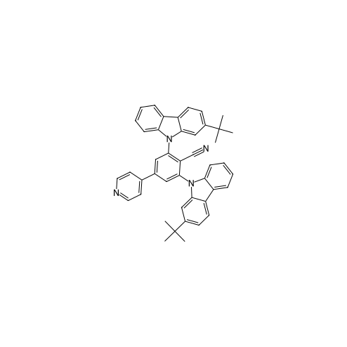 CC(C)(C)c1ccc2c3ccccc3n(-c3cc(-c4ccncc4)cc(-n4c5ccccc5c5ccc(C(C)(C)C)cc54)c3C#N)c2c1